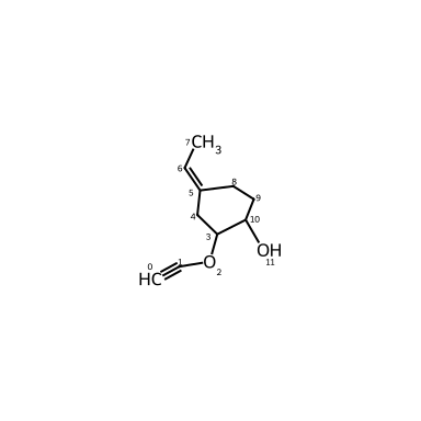 C#COC1C/C(=C/C)CCC1O